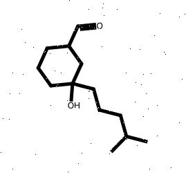 CC(C)CCCC1(O)CCCC(C=O)C1